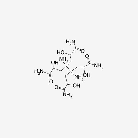 NC(=O)C(O)CC(N)(CC(O)C(N)=O)C(N)(CC(O)C(N)=O)CC(O)C(N)=O